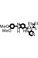 CCN(CC)C(=S)Sc1cnccc1NC(=O)c1ccc2nc(-c3ccc(OC)c(OC)c3)[nH]c2c1